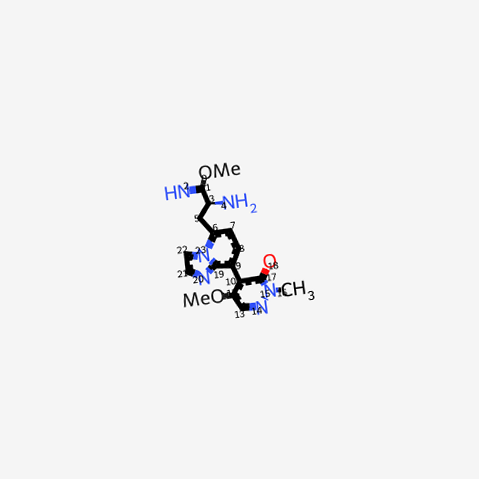 COC(=N)[C@@H](N)Cc1ccc(-c2c(OC)cnn(C)c2=O)c2nccn12